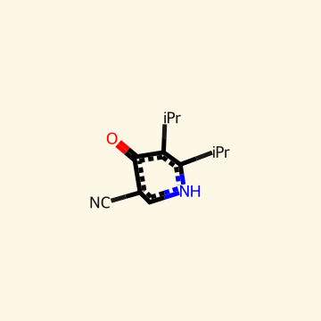 CC(C)c1[nH]cc(C#N)c(=O)c1C(C)C